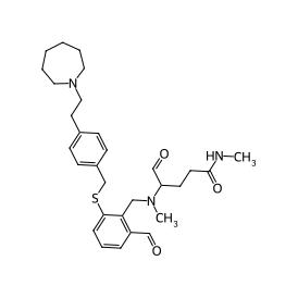 CNC(=O)CCC(C=O)N(C)Cc1c(C=O)cccc1SCc1ccc(CCN2CCCCCC2)cc1